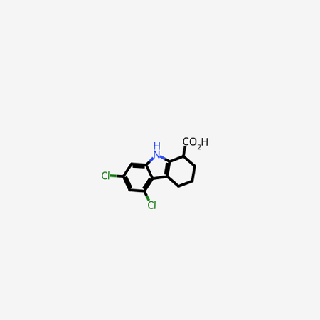 O=C(O)C1CCCc2c1[nH]c1cc(Cl)cc(Cl)c21